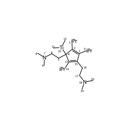 CC(C)C1=C(C(C)C)[C](CCN(C)C)([Ti]([CH3])[CH3])C(C(C)C)=C1CCN(C)C